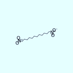 O=[N+]([O-])CCCCCCCCCCCC[N+](=O)[O-]